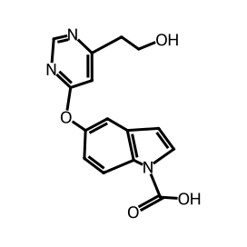 O=C(O)n1ccc2cc(Oc3cc(CCO)ncn3)ccc21